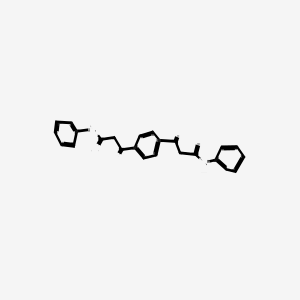 O=C(CC(=O)c1ccc(C(=O)CC(=O)Nc2ccccc2)cc1)Nc1ccccc1